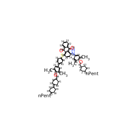 CCCCCC1CCC(COc2c(C)cc(Nc3ccc(Sc4ccc(-c5cc(C)c(OCC6CCC(C7CCC(CCCCC)CC7)CC6)c(C)c5)cc4)c4c3C(=O)c3ccccc3C4=O)cc2C)CC1